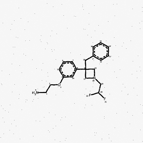 NCCOc1cccc(C2(Cc3ccccc3)CN(CC(F)F)C2)c1